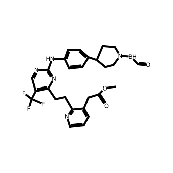 COC(=O)Cc1cccnc1CCc1nc(Nc2ccc(C3CCN(BC=O)CC3)cc2)ncc1C(F)(F)F